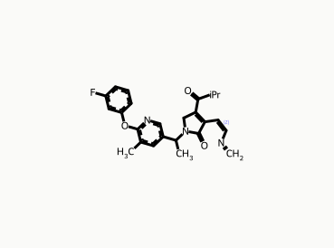 C=N/C=C\C1=C(C(=O)C(C)C)CN(C(C)c2cnc(Oc3cccc(F)c3)c(C)c2)C1=O